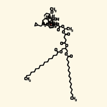 CCCCCCCCCCCCCCCC(=O)OCC(COC(=O)CCCCCCCCCCCCCCC)OC(=O)CCC(=O)OC(C)OC(=O)Oc1ccc2c3c1O[C@H]1[C@]4(OC)CC[C@@]5(C[C@@H]4[C@](C)(O)C(C)(C)C)C(C2)N(CC2CC2)CC[C@]315